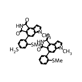 CSc1ccccc1-c1cc2c(ccn2C)c2c1C(=O)NC2=O.CSc1ccccc1-c1cc2c(ccn2C)c2c1C(=O)NC2=O.S